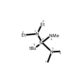 CCN(CC)[Si](NC)(N(C)C)C(C)(C)C